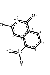 O=c1[nH]c(Cl)cc2c([N+](=O)[O-])cccc12